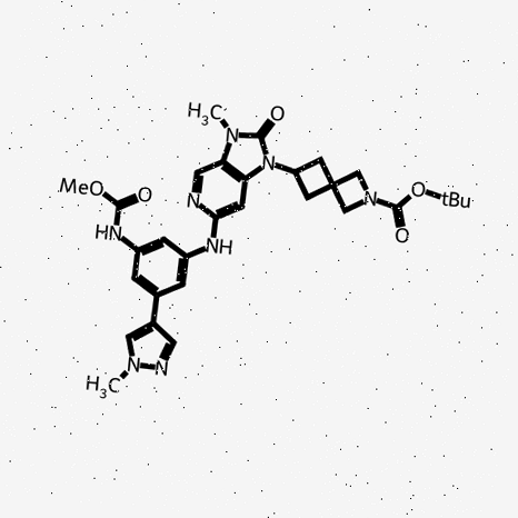 COC(=O)Nc1cc(Nc2cc3c(cn2)n(C)c(=O)n3C2CC3(C2)CN(C(=O)OC(C)(C)C)C3)cc(-c2cnn(C)c2)c1